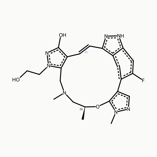 C[C@H]1CN(C)Cc2c(c(O)nn2CCO)/C=C/c2n[nH]c3cc(F)c(cc23)-c2cnn(C)c2O1